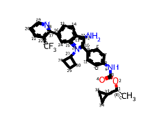 C[C@@H](OC(=O)Nc1ccc(-c2c(N)c3ccc(-c4ncccc4C(F)(F)F)cc3n2C2CCC2)cc1)C1CC1